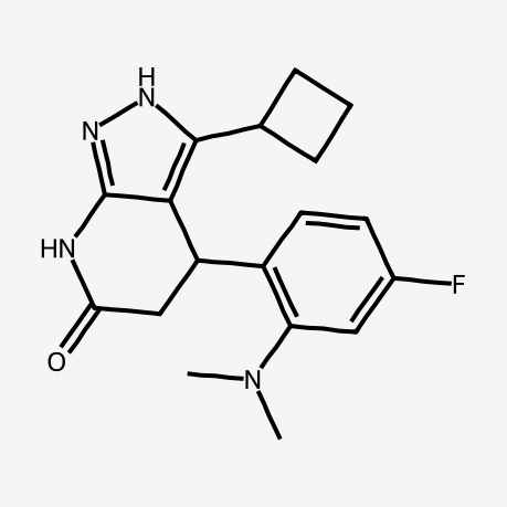 CN(C)c1cc(F)ccc1C1CC(=O)Nc2n[nH]c(C3CCC3)c21